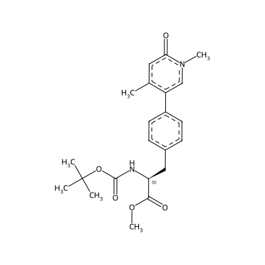 COC(=O)[C@H](Cc1ccc(-c2cn(C)c(=O)cc2C)cc1)NC(=O)OC(C)(C)C